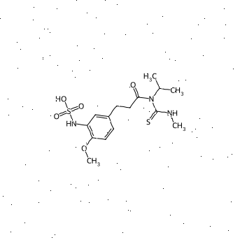 CNC(=S)N(C(=O)CCc1ccc(OC)c(NS(=O)(=O)O)c1)C(C)C